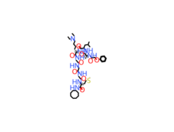 CCN(CC)CCCC[C@H](NC(=O)C(CC(C)C)NC(=O)[C@H](C)NC(=O)COc1ccccc1)C(=O)NCC(=O)NCC(=O)NCC(=O)N[C@@H](CCSC)C(=O)NC1CCCCCCC1